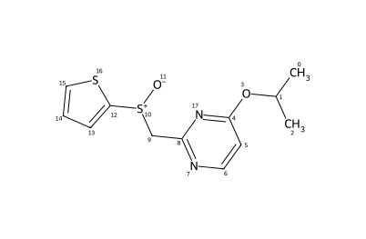 CC(C)Oc1ccnc(C[S+]([O-])c2cccs2)n1